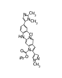 Cc1ncc(-c2ccc(Nc3cc4c(cn3)cc(-c3cnn(C)c3)n4C(=O)OC(C)C)c(Cl)c2)n1C